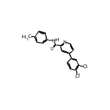 Cc1ccc(NC(=O)c2cc(-c3ccc(Cl)c(Cl)c3)ccn2)cc1